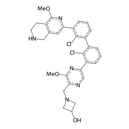 COc1nc(-c2cccc(-c3cccc(-c4cc5c(c(OC)n4)CCNC5)c3Cl)c2Cl)cnc1CN1CC(O)C1